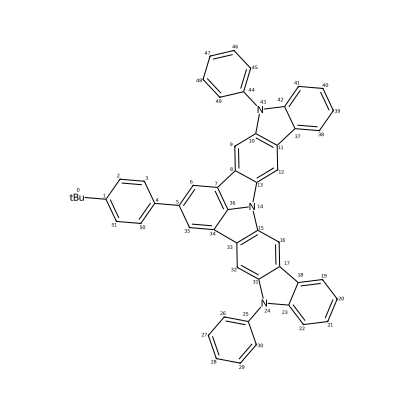 CC(C)(C)c1ccc(-c2cc3c4cc5c(cc4n4c6cc7c8ccccc8n(-c8ccccc8)c7cc6c(c2)c34)c2ccccc2n5-c2ccccc2)cc1